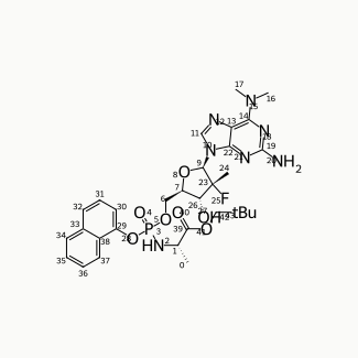 C[C@H](NP(=O)(OC[C@H]1O[C@@H](n2cnc3c(N(C)C)nc(N)nc32)[C@](C)(F)[C@@H]1O)Oc1cccc2ccccc12)C(=O)OCC(C)(C)C